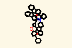 c1ccc(N(c2ccc3c(c2)C2(c4cc(C5CCCCC5)ccc4Oc4ccc(C5CCCCC5)cc42)c2ccccc2-3)c2ccc3c(c2)C2(c4ccccc4-c4ccccc42)c2ccccc2-3)cc1